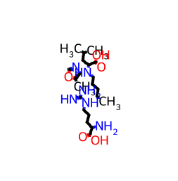 CCCCCNC(CC(C)C)C(=O)O.Cc1cnco1.N=C(N)NCCCC(N)C(=O)O